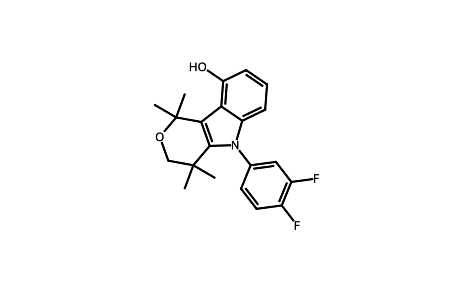 CC1(C)COC(C)(C)c2c1n(-c1ccc(F)c(F)c1)c1cccc(O)c21